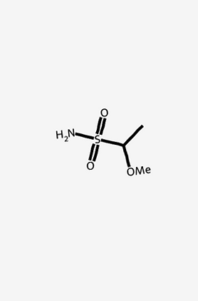 COC(C)S(N)(=O)=O